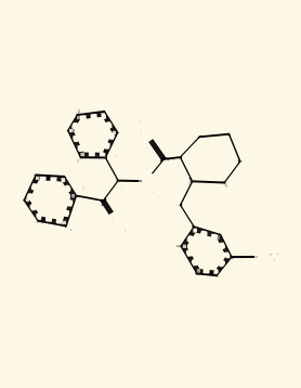 COc1cccc(CC2CCCCC2C(=O)OC(C(=O)c2ccccc2)c2ccccc2)c1